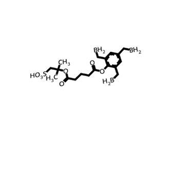 BCc1cc(CB)c(OC(=O)CCCC(=O)OC(C)(C)CS(=O)(=O)O)c(CB)c1